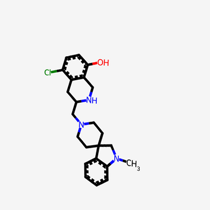 CN1CC2(CCN(CC3Cc4c(Cl)ccc(O)c4CN3)CC2)c2ccccc21